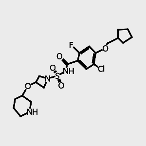 O=C(NS(=O)(=O)N1CC(OC2CCCNC2)C1)c1cc(Cl)c(OCC2CCCC2)cc1F